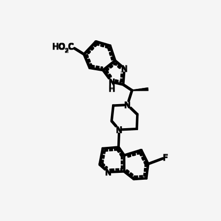 C[C@H](c1nc2ccc(C(=O)O)cc2[nH]1)N1CCN(c2ccnc3ccc(F)cc23)CC1